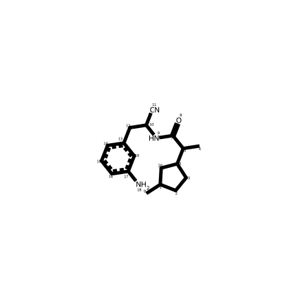 CC1CCC(C(C)C(=O)NC(C#N)Cc2cccc(N)c2)C1